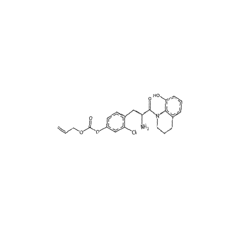 C=CCOC(=O)Oc1ccc(CC(N)C(=O)N2CCCc3cccc(O)c32)c(Cl)c1